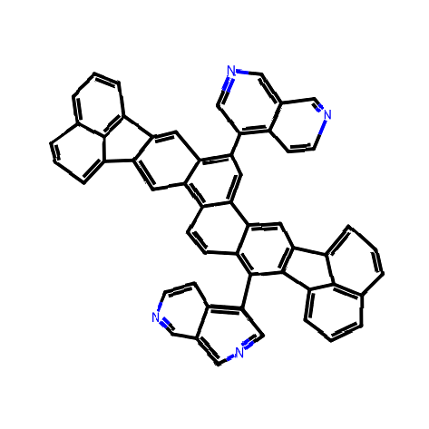 c1cc2c3c(cccc3c1)-c1cc3c(cc1-2)c(-c1cncc2cnccc12)cc1c2cc4c(c(-c5cncc6cnccc56)c2ccc31)-c1cccc2cccc-4c12